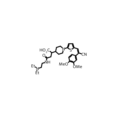 CCN(CC)CCNC(=O)CC(C(=O)O)C1CCN(c2ccc(C=C(C#N)c3ccc(OC)c(OC)c3)s2)CC1